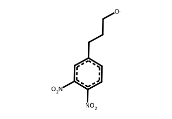 [O]CCCc1ccc([N+](=O)[O-])c([N+](=O)[O-])c1